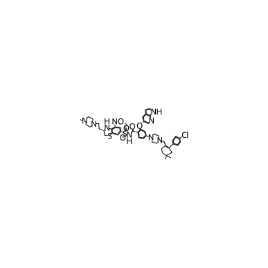 CN1CCN(CC[C@@H]2CSc3cc(S(=O)(=O)NC(=O)c4ccc(N5CCN(CC6=C(c7ccc(Cl)cc7)CC(C)(C)CC6)CC5)cc4Oc4cnc5[nH]ccc5c4)cc([N+](=O)[O-])c3N2)CC1